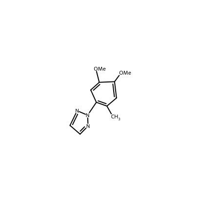 COc1cc(C)c(-n2nccn2)cc1OC